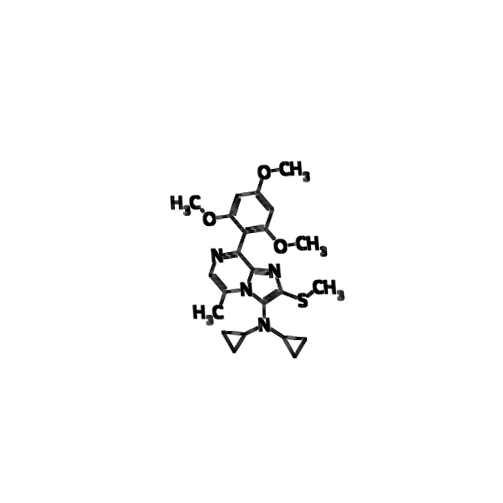 COc1cc(OC)c(-c2ncc(C)n3c(N(C4CC4)C4CC4)c(SC)nc23)c(OC)c1